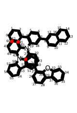 c1ccc(-c2ccc(-c3ccc4ccccc4c3)cc2N(c2ccc(-c3cccc4c3oc3ccccc34)cc2)c2ccccc2-n2c3ccccc3c3ccccc32)cc1